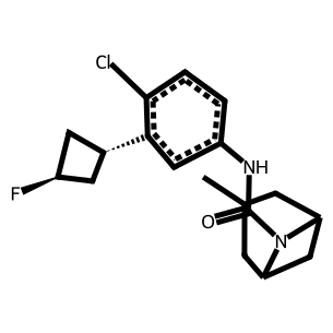 CC1CC2CC(C1)N2C(=O)Nc1ccc(Cl)c([C@H]2C[C@H](F)C2)c1